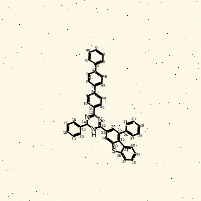 c1ccc(-c2ccc(-c3ccc(C4=NC(c5ccccc5)NC(c5cc(-c6ccccc6)c6c(c5)sc5ccccc56)=N4)cc3)cc2)cc1